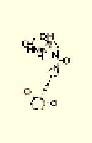 O=C1CO[C@H]2CCN(C(=O)N3CC(C#Cc4c(Cl)cccc4Cl)C3)C[C@H]2N1